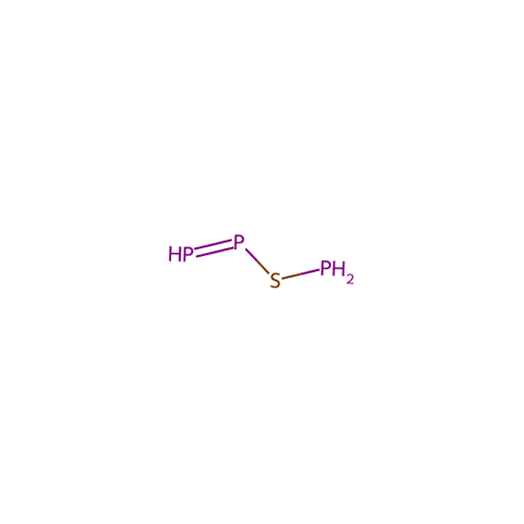 P=PSP